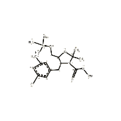 Cc1cc(CC2C(CO[Si](C)(C)C(C)(C)C)OC(C)(C)N2C(=O)OC(C)(C)C)cc(Cl)n1